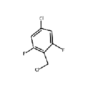 Fc1cc(Cl)cc(F)c1CCl